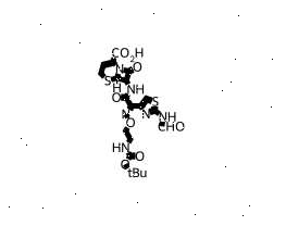 CC(C)(C)OC(=O)NCCO/N=C(/C(=O)NC1C(=O)N2C(C(=O)O)=CCS[C@H]12)c1csc(NC=O)n1